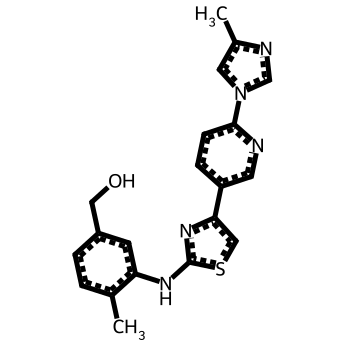 Cc1cn(-c2ccc(-c3csc(Nc4cc(CO)ccc4C)n3)cn2)cn1